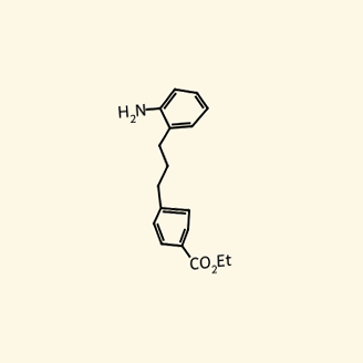 CCOC(=O)c1ccc(CCCc2ccccc2N)cc1